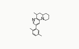 Cc1ccc(C)c(-c2cnc3c(c2)N2CCCCC2CC3C)c1